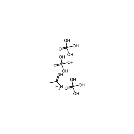 CC(=N)N.O=P(O)(O)O.O=P(O)(O)O.O=P(O)(O)O